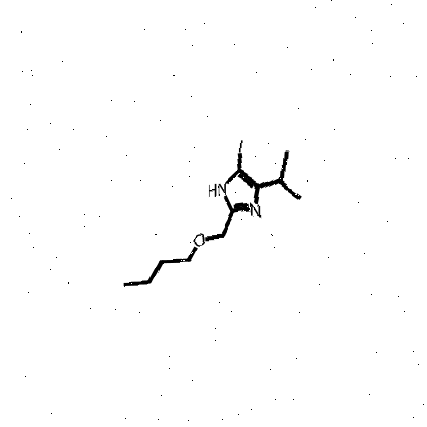 CCCCOCc1nc(C(C)C)c(I)[nH]1